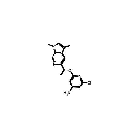 Cc1cn(C)c2cnc(C(C)Sc3nc(N)cc(Cl)n3)cc12